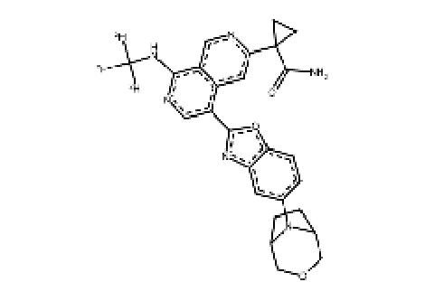 [2H]C([2H])([2H])Nc1ncc(-c2nc3cc(N4C5CCC4COC5)ccc3o2)c2cc(C3(C(N)=O)CC3)ncc12